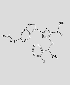 CC(Oc1cc(-c2cnc3cc(NC(=O)O)ccn23)sc1C(N)=O)c1ccccc1Cl